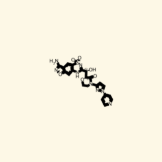 Nc1noc2cc3c(cc12)S(=O)(=O)N=C([C@H](O)[C@H]1OCCN(c2ccn(-c4ccncc4)n2)C1=O)N3